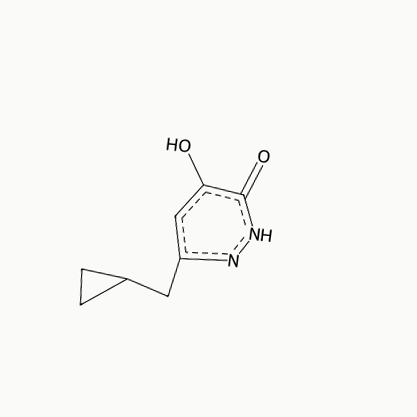 O=c1[nH]nc(CC2CC2)cc1O